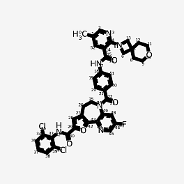 Cc1cnc(N2CC3(CCOCC3)C2)c(C(=O)Nc2ccc(C(=O)N3CCc4cc(C(=O)Nc5c(Cl)cccc5Cl)oc4-c4ncc(F)cc43)cc2)c1